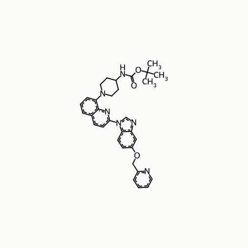 CC(C)(C)OC(=O)NC1CCN(c2cccc3ccc(-n4cnc5cc(OCc6ccccn6)ccc54)nc23)CC1